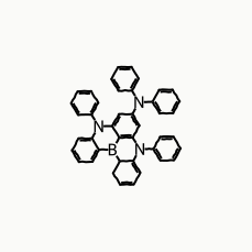 C1=CCC2B3c4ccccc4N(c4ccccc4)c4cc(N(c5ccccc5)c5ccccc5)cc(c43)N(c3ccccc3)C2=C1